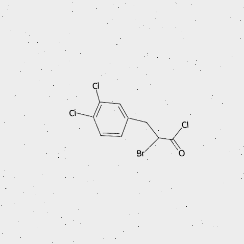 O=C(Cl)C(Br)Cc1ccc(Cl)c(Cl)c1